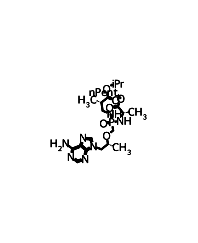 CCCCCOC(=O)[C@H](C)NP(=O)(CO[C@H](C)Cn1cnc2c(N)ncnc21)NC[C@H](C)C(=O)OC(C)C